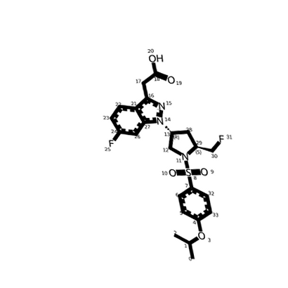 CC(C)Oc1ccc(S(=O)(=O)N2C[C@H](n3nc(CC(=O)O)c4ccc(F)cc43)C[C@H]2CF)cc1